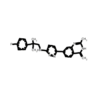 C=C1NC(C)=Nc2cc(-c3ccc(NCC(C)(C)c4ccc(F)cc4)nn3)ccc21